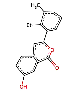 CCc1c(C)cccc1-c1cc2ccc(O)cc2c(=O)o1